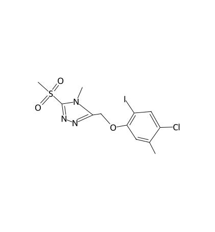 Cc1cc(OCc2nnc(S(C)(=O)=O)n2C)c(I)cc1Cl